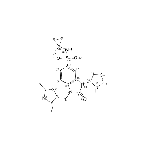 CC1NC(C)C(Cn2c(=O)n(C3CSCN3)c3cc(S(=O)(=O)NC4(C)CC4)ccc32)S1